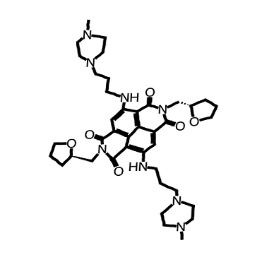 CN1CCN(CCCNc2cc3c4c(c(NCCCN5CCN(C)CC5)cc5c4c2C(=O)N(C[C@H]2CCCO2)C5=O)C(=O)N(C[C@@H]2CCCO2)C3=O)CC1